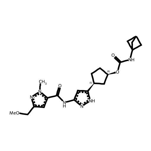 COCc1cc(C(=O)Nc2cc([C@H]3CC[C@@H](OC(=O)NC45CC(C4)C5)C3)[nH]n2)n(C)n1